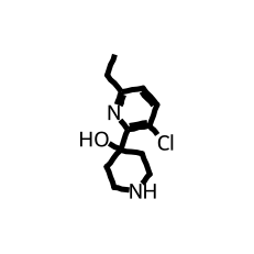 CCc1ccc(Cl)c(C2(O)CCNCC2)n1